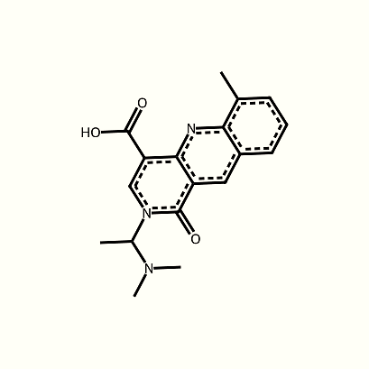 Cc1cccc2cc3c(=O)n(C(C)N(C)C)cc(C(=O)O)c3nc12